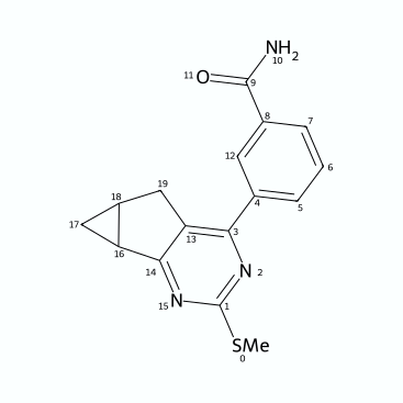 CSc1nc(-c2cccc(C(N)=O)c2)c2c(n1)C1CC1C2